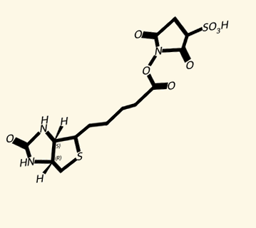 O=C1N[C@H]2CSC(CCCCC(=O)ON3C(=O)CC(S(=O)(=O)O)C3=O)[C@H]2N1